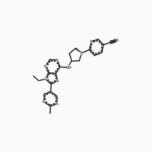 CCn1c(-c2cnc(C)nc2)nc2c(NC3CCN(c4ccc(C#N)cn4)C3)ncnc21